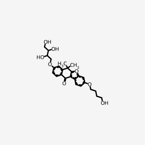 CC1(C)c2cc(OCC(O)C(O)CO)ccc2C(=O)c2c1oc1cc(OCCCCO)ccc21